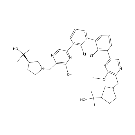 COc1nc(-c2cccc(-c3cccc(-c4cnc(CN5CC[C@@H](C(C)(C)O)C5)c(OC)n4)c3Cl)c2Cl)cnc1CN1CCC(C(C)(C)O)C1